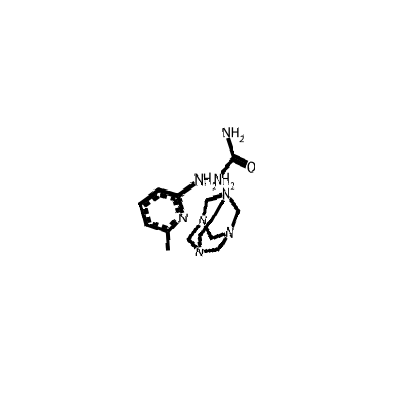 C1N2CN3CN1CN(C2)C3.Cc1cccc(N)n1.NC(N)=O